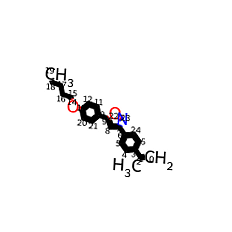 C=C(C)c1ccc(-c2cc(-c3ccc(OCCCCC)cc3)on2)cc1